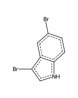 Brc1ccc2[nH]cc(Br)c2c1